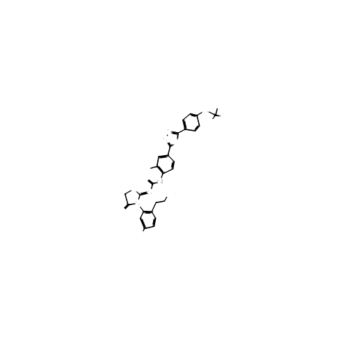 CCCc1ccc(C)cc1N1C(=O)CSC1=NC(=O)Nc1ccc(-c2nnc(-c3ccc(OC(F)(F)F)cc3)o2)cc1F